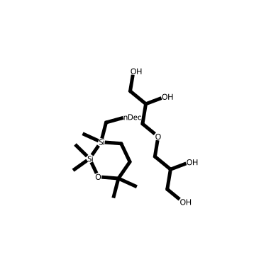 CCCCCCCCCCC[Si]1(C)CCC(C)(C)O[Si]1(C)C.OCC(O)COCC(O)CO